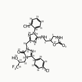 O=C1NCC(CNc2nc(Cn3nc(-c4ccc(Cl)cc4)n(C[C@H](O)C(F)(F)F)c3=O)nn2-c2ccccc2Cl)O1